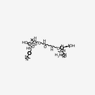 CCn1c(-c2nonc2N)nc2c(C#CC(C)(C)O)ncc(OCCCNCCCC(=O)NCCOCC(=O)NC(C(=O)N3C[C@H](O)C[C@H]3C(=O)NCc3ccc(-c4scnc4C)cc3)C(C)(C)C)c21